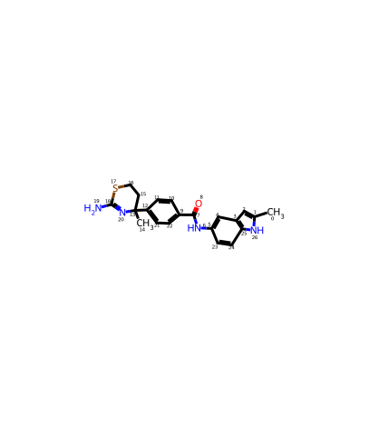 Cc1cc2cc(NC(=O)c3ccc(C4(C)CCSC(N)=N4)cc3)ccc2[nH]1